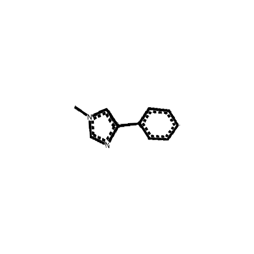 Cn1cnc(-c2cc[c]cc2)c1